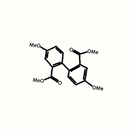 COC(=O)c1cc(OC)ccc1-c1ccc(OC)cc1C(=O)OC